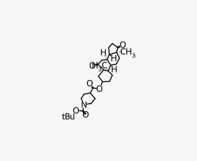 CC(C)(C)OC(=O)N1CCC(C(=O)OC2CC[C@@]3(C)C(C2)C(=O)C[C@@H]2[C@H]3CC[C@]3(C)C(=O)CC[C@@H]23)CC1